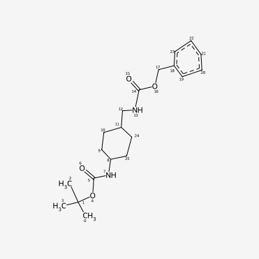 CC(C)(C)OC(=O)NC1CCC(CNC(=O)OCc2ccccc2)CC1